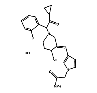 CNC(=O)Cn1ccc(C=C2CN(C(C(=O)C3CC3)c3ccccc3F)CCC2S)n1.Cl